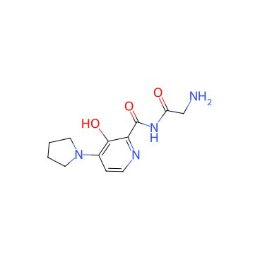 NCC(=O)NC(=O)c1nccc(N2CCCC2)c1O